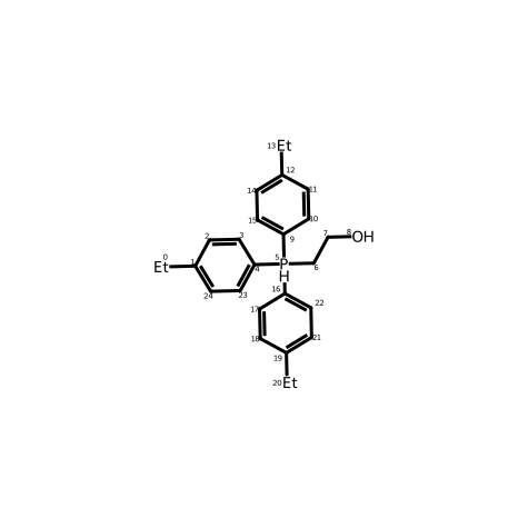 CCc1ccc([PH](CCO)(c2ccc(CC)cc2)c2ccc(CC)cc2)cc1